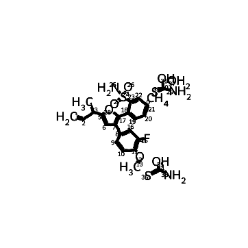 C.C=CC(C)c1cc(-c2ccc(OC)c(F)c2)c(-c2ccccc2S(N)(=O)=O)o1.NC(O)=S.NC(O)=S.O